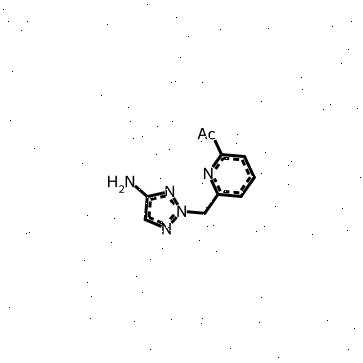 CC(=O)c1cccc(Cn2ncc(N)n2)n1